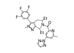 CCC1Cc2c(nn(C)c2-c2cc(F)c(F)c(F)c2)C(CC)N1C(=O)c1cc(-n2nccn2)cc(C)n1